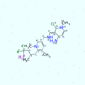 CC1=C(CC(C)CC(F)(F)P)N(C)CC(CN/C=C2\C(N)C=CN(C)C2Cl)=C1